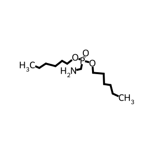 CCCCCCOP(=O)(CN)OCCCCCC